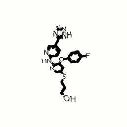 OCCCSc1cnc(Nc2ccc(-c3nnn[nH]3)cn2)c(Oc2ccc(F)cc2)c1